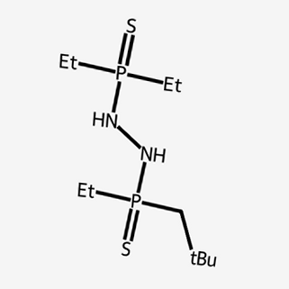 CCP(=S)(CC)NNP(=S)(CC)CC(C)(C)C